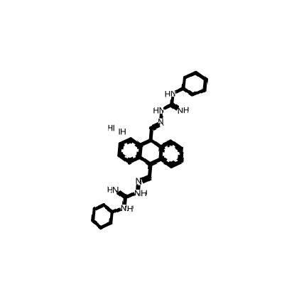 I.I.N=C(NN=CC1c2ccccc2C(C=NNC(=N)NC2CCCCC2)c2ccccc21)NC1CCCCC1